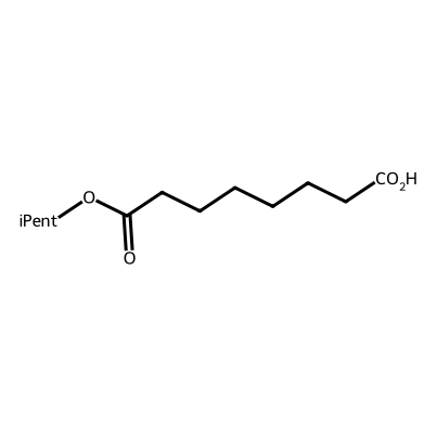 CCCC(C)OC(=O)CCCCCCC(=O)O